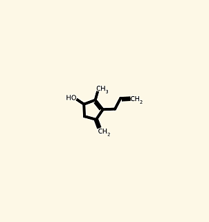 C=CCC1=C(C)C(O)CC1=C